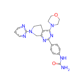 NC(=O)Nc1ccc(-c2nc3c(c(N4CCOCC4)n2)CCN(c2ncccn2)C3)cc1